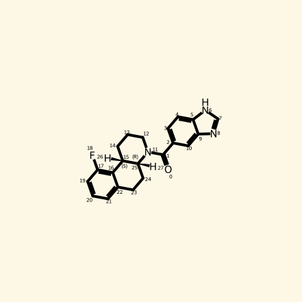 O=C(c1ccc2[nH]cnc2c1)N1CCC[C@H]2c3c(F)cccc3CC[C@H]21